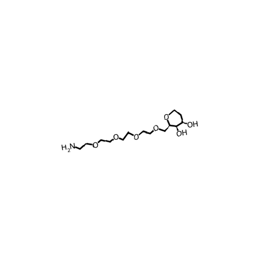 NCCOCCOCCOCCOC[C@H]1OCC[C@@H](O)[C@H]1O